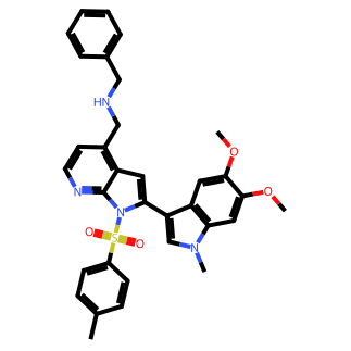 COc1cc2c(-c3cc4c(CNCc5ccccc5)ccnc4n3S(=O)(=O)c3ccc(C)cc3)cn(C)c2cc1OC